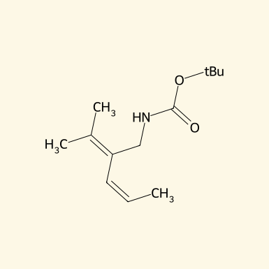 C/C=C\C(CNC(=O)OC(C)(C)C)=C(C)C